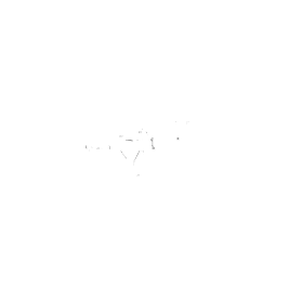 COc1cc(Br)c2cc3n(c2c1)CCC3C(C)C(=O)O